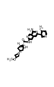 COC1CN([C@H]2C[C@@H]3[C@H](C2)[C@H]3C(=O)Nc2cc3cc(-c4cnccc4C)nc(N)c3cn2)C1